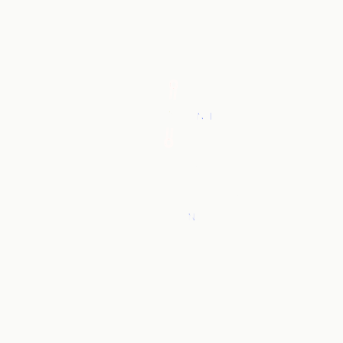 Cc1cc(C)c(N2CCCC2)cc1NS(=O)(=O)c1ccccc1